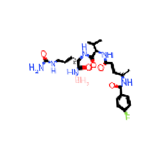 BNC(=O)[C@H](CCCNC(N)=O)NC(=O)C(NC(=O)CC[C@@H](C)NC(=O)c1ccc(F)cc1)C(C)C